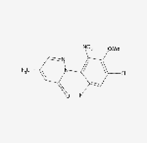 COc1c(Cl)cc(F)c(-n2ncc(C(F)(F)F)cc2=O)c1[N+](=O)[O-]